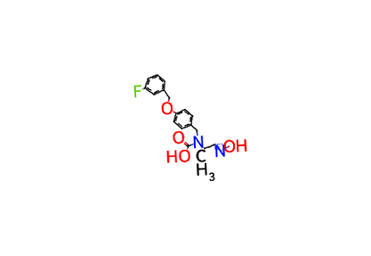 CC(/C=N/O)N(Cc1ccc(OCc2cccc(F)c2)cc1)C(=O)O